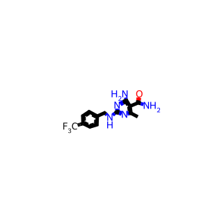 Cc1nc(NCc2ccc(C(F)(F)F)cc2)nc(N)c1C(N)=O